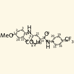 COc1ccc(Nc2cccc(C(=O)Nc3ccc(C(F)(F)F)cc3)c2)c(C(=O)O)c1